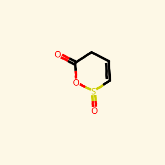 O=C1CC=CS(=O)O1